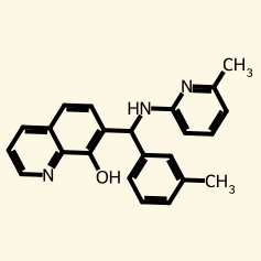 Cc1cccc(C(Nc2cccc(C)n2)c2ccc3cccnc3c2O)c1